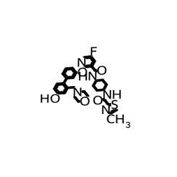 Cc1csc(C(=O)NC2CCC(NC(=O)c3cc(F)cnc3Oc3cccc(-c4ccc(O)cc4CN4CCOCC4)c3)CC2)n1